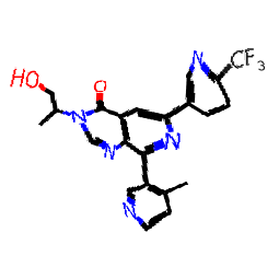 Cc1ccncc1-c1nc(-c2ccc(C(F)(F)F)nc2)cc2c(=O)n(C(C)CO)cnc12